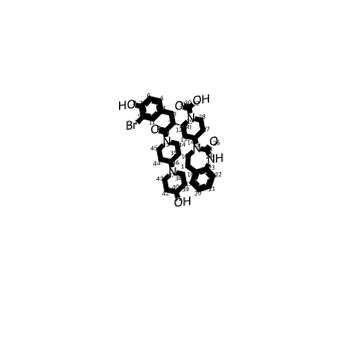 O=C(C(Cc1ccc(O)c(Br)c1)[C@H]1CC(N2CCc3ccccc3NC2=O)CCN1C(=O)O)N1CCC(N2CCC(O)CC2)CC1